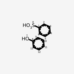 O=S(=O)(O)c1ccccc1.Oc1ccccc1